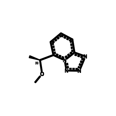 CO[C@@H](C)c1cccc2nnnn12